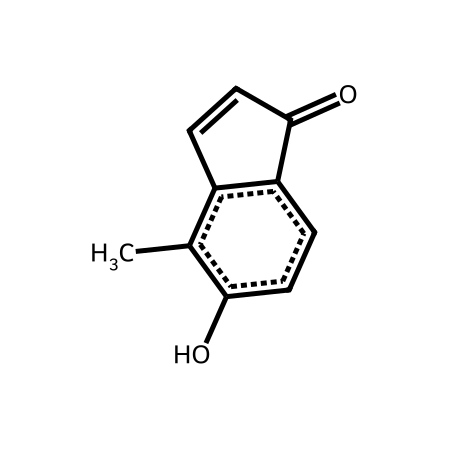 Cc1c(O)ccc2c1C=CC2=O